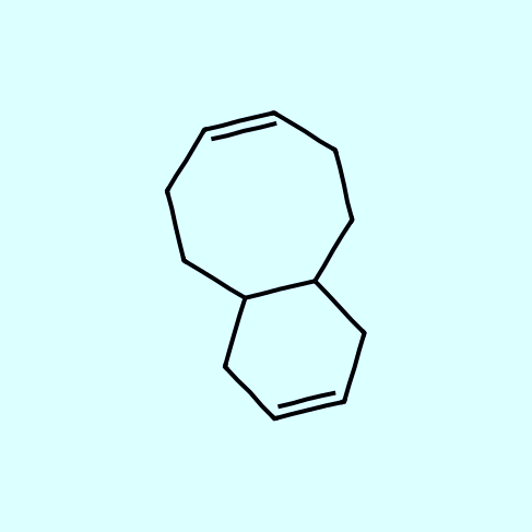 C1=CCCC2CC=CCC2CC1